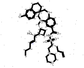 C=CCC[C@H](CN1CCOCC1)S(=O)(=O)NC(=O)c1ccc2c(c1)N(C[C@@H]1CC[C@H]1[C@@H](O)/C=C/CCC)C[C@@]1(CCCc3cc(Cl)ccc31)CO2